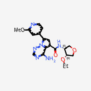 CCO[C@H]1COC[C@H]1NC(=O)c1cc(-c2ccnc(OC)c2)n2ncnc(N)c12